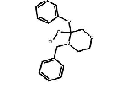 CCOC1(Oc2ccccc2)COCCN1Cc1ccccc1